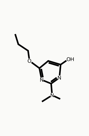 CCCOc1cc(O)nc(N(C)C)n1